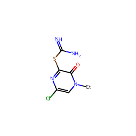 CCn1cc(Cl)nc(SC(=N)N)c1=O